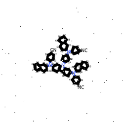 [C-]#[N+]c1ccc(N(c2ccc(-n3c4cc(N(c5ccc(C#N)cc5)c5ccc6ccccc6c5)ccc4c4ccc(N(c5ccc([N+]#[C-])cc5)c5ccc6ccccc6c5)cc43)cc2)c2ccc3ccccc3c2)cc1